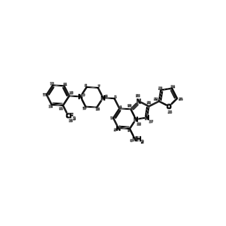 Nc1ncc(CN2CCN(c3ccccc3C(F)(F)F)CC2)c2nc(-c3ccco3)nn12